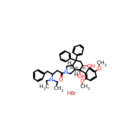 Br.CCN(CC)C(CC(=O)N1C[C@@H]2[C@H](C1)[C@@](O)(c1cc(OC)ccc1OC)[C@H](O)CC2(c1ccccc1)c1ccccc1)Cc1ccccc1